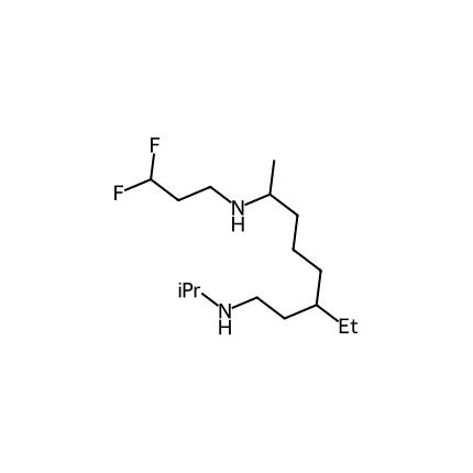 CCC(CCCC(C)NCCC(F)F)CCNC(C)C